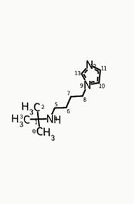 CC(C)(C)NCCCCn1ccnc1